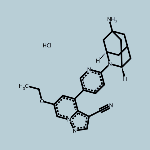 CCOc1cc(-c2ccc(N3[C@@H]4CC5C[C@H]3CC(N)(C5)C4)nc2)c2c(C#N)cnn2c1.Cl